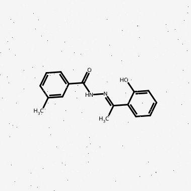 C/C(=N\NC(=O)c1cccc(C)c1)c1ccccc1O